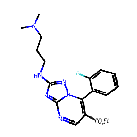 CCOC(=O)c1cnc2nc(NCCCN(C)C)nn2c1-c1ccccc1F